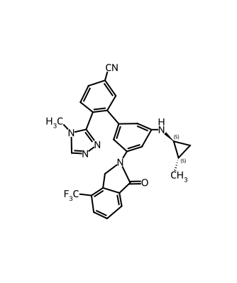 C[C@H]1C[C@@H]1Nc1cc(-c2cc(C#N)ccc2-c2nncn2C)cc(N2Cc3c(cccc3C(F)(F)F)C2=O)c1